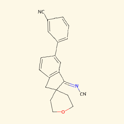 N#C/N=C1/c2cc(-c3cccc(C#N)c3)ccc2CC12CCOCC2